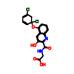 O=C(O)CNC(=O)c1nc2cccc(OC3(Cl)C=CC=C(Cl)C3)c2cc1O